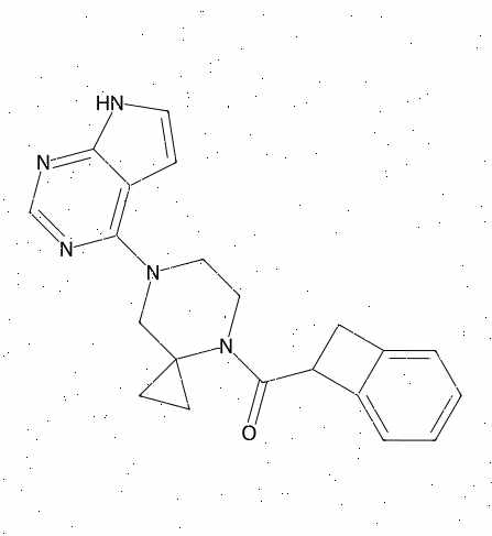 O=C(C1Cc2ccccc21)N1CCN(c2ncnc3[nH]ccc23)CC12CC2